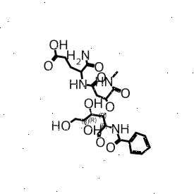 CNC(=O)C(CC(=O)NC(CCC(=O)O)C(N)=O)O[C@@H]([C@H](O)[C@H](O)CO)[C@H](C=O)NC(=O)c1ccccc1